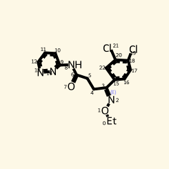 CCO/N=C(\CCC(=O)Nc1cccnn1)c1ccc(Cl)c(Cl)c1